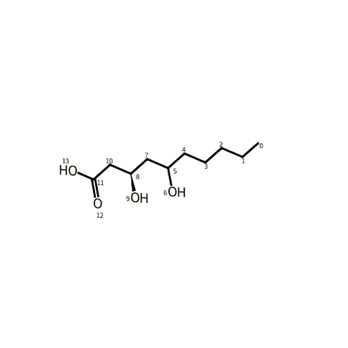 CCCCCC(O)C[C@@H](O)CC(=O)O